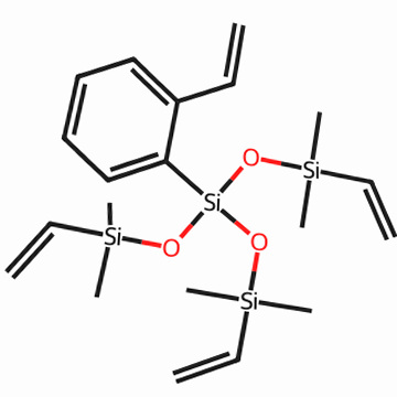 C=Cc1ccccc1[Si](O[Si](C)(C)C=C)(O[Si](C)(C)C=C)O[Si](C)(C)C=C